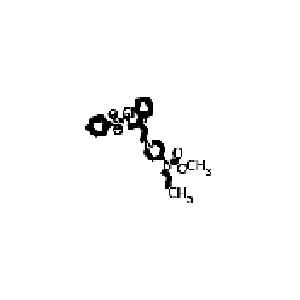 CCCCN(C(=O)OC)C1CCN(CCC(CN(C)S(=O)(=O)c2ccccc2)c2ccccc2)CC1